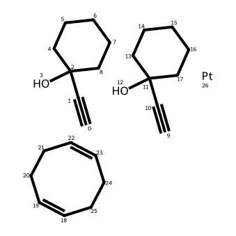 C#CC1(O)CCCCC1.C#CC1(O)CCCCC1.C1=CCCC=CCC1.[Pt]